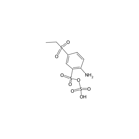 CCS(=O)(=O)c1ccc(N)c(S(=O)(=O)OS(=O)(=O)O)c1